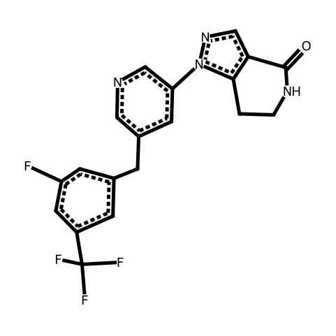 O=C1NCCc2c1cnn2-c1cncc(Cc2cc(F)cc(C(F)(F)F)c2)c1